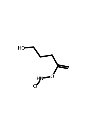 C=C(CCCO)ONCl